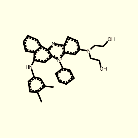 Cc1ccc(Nc2cc3c(nc4ccc(N(CCO)CCO)cc4[n+]3-c3ccccc3)c3ccccc23)cc1C